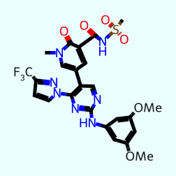 COc1cc(Nc2ncc(-c3cc(C(=O)NS(C)(=O)=O)c(=O)n(C)c3)c(-n3ccc(C(F)(F)F)n3)n2)cc(OC)c1